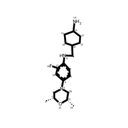 C[C@@H]1CN(c2ccc(NCC3CCC(N)CC3)c(F)c2)C[C@H](C)O1